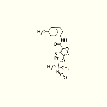 CC1CC2CCC(NC(=O)c3onc(OCC(C)(C)N=C=O)c3SC(C)C)C(C1)C2